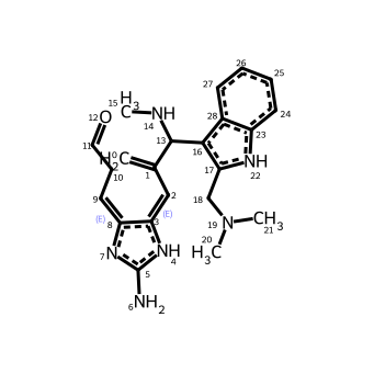 C=C(/C=c1/[nH]c(N)n/c1=C/CC=O)C(NC)c1c(CN(C)C)[nH]c2ccccc12